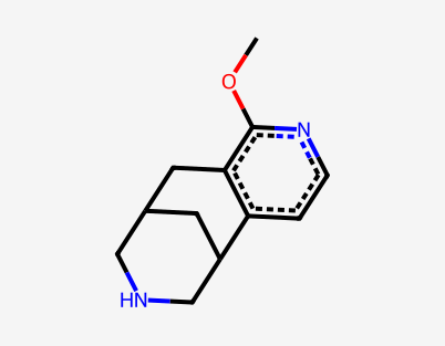 COc1nccc2c1CC1CNCC2C1